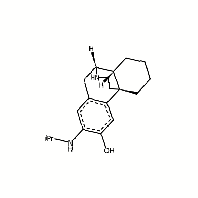 CC(C)Nc1cc2c(cc1O)[C@@]13CCCC[C@H]1[C@@H](C2)NCC3